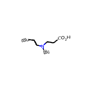 CC(C)(C)CCN(CCC(=O)O)C(C)(C)C